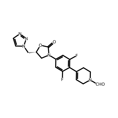 O=CN1CC=C(c2c(F)cc(N3C[C@H](Cn4ccnn4)OC3=O)cc2F)CC1